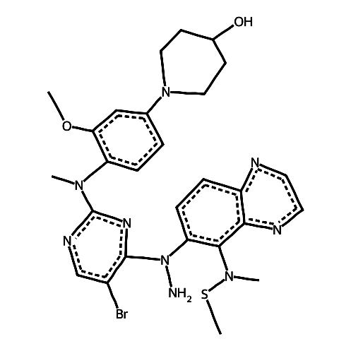 COc1cc(N2CCC(O)CC2)ccc1N(C)c1ncc(Br)c(N(N)c2ccc3nccnc3c2N(C)SC)n1